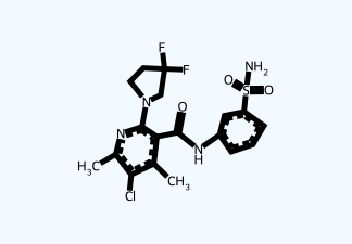 Cc1nc(N2CCC(F)(F)C2)c(C(=O)Nc2cccc(S(N)(=O)=O)c2)c(C)c1Cl